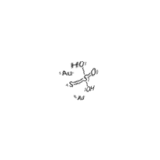 O=S(O)(O)=S.[Au].[Au]